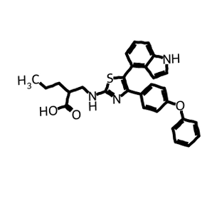 CCCC(CNc1nc(-c2ccc(Oc3ccccc3)cc2)c(-c2cccc3[nH]ccc23)s1)C(=O)O